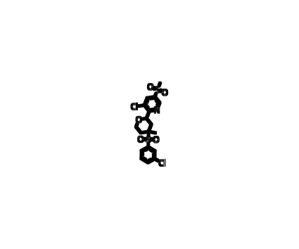 CC1(S(=O)(=O)c2cccc(Cl)c2)CCOC(c2ncc(S(C)(=O)=O)cc2Cl)C1